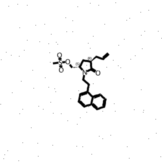 C=CC[C@@H]1C[C@@H](COS(C)(=O)=O)N(CCc2cccc3ccccc23)C1=O